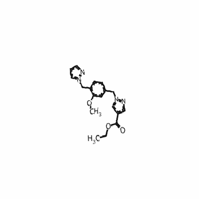 CCOC(=O)c1cnn(Cc2ccc(Cn3cccn3)c(OC)c2)c1